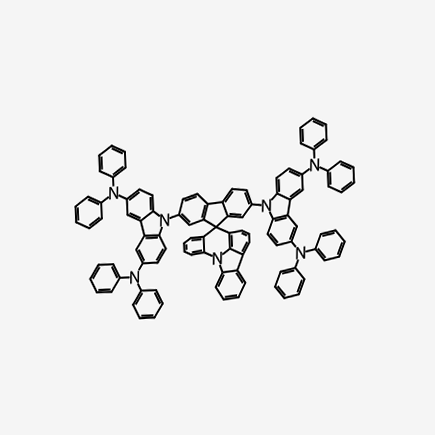 c1ccc(N(c2ccccc2)c2ccc3c(c2)c2cc(N(c4ccccc4)c4ccccc4)ccc2n3-c2ccc3c(c2)C2(c4cc(-n5c6ccc(N(c7ccccc7)c7ccccc7)cc6c6cc(N(c7ccccc7)c7ccccc7)ccc65)ccc4-3)c3ccccc3-n3c4ccccc4c4cccc2c43)cc1